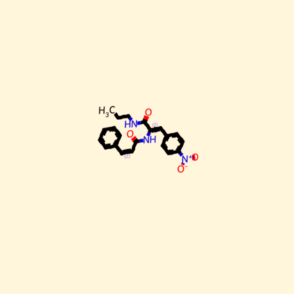 CCCNC(=O)/C(=C/c1ccc([N+](=O)[O-])cc1)NC(=O)/C=C\c1ccccc1